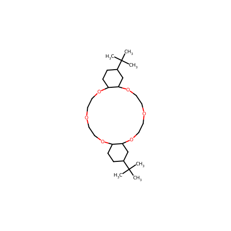 CC(C)(C)C1CCC2OCCOCCOC3CCC(C(C)(C)C)CC3OCCOCCOC2C1